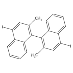 Cc1cc(I)c2ccccc2c1-c1c(C)cc(I)c2ccccc12